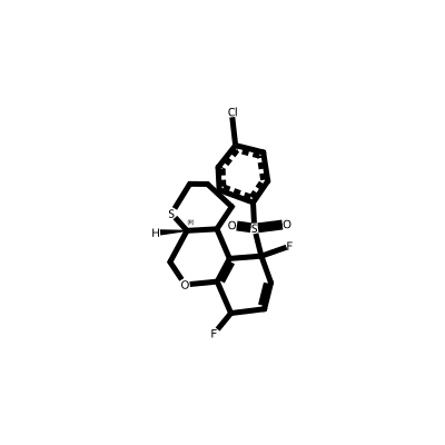 O=S(=O)(c1ccc(Cl)cc1)C1(F)C=CC(F)C2=C1C1CCCS[C@H]1CO2